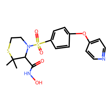 CC1(C)SCCN(S(=O)(=O)c2ccc(Oc3ccncc3)cc2)C1C(=O)NO